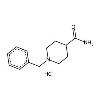 Cl.NC(=O)C1CCN(Cc2ccccc2)CC1